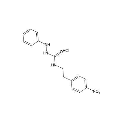 Cl.O=C(NCCc1ccc([N+](=O)[O-])cc1)NNc1ccccc1